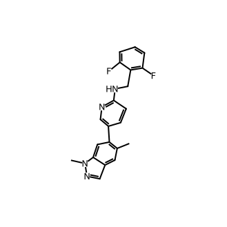 Cc1cc2cnn(C)c2cc1-c1ccc(NCc2c(F)cccc2F)nc1